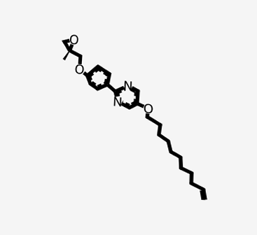 C=CCCCCCCCCCOc1cnc(-c2ccc(OC[C@]3(C)CO3)cc2)nc1